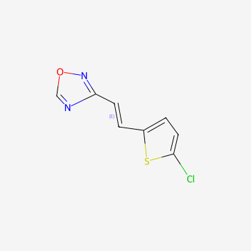 Clc1ccc(/C=C/c2ncon2)s1